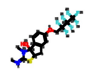 CN=C1SC2Cc3cc(OCC(F)(F)C(F)(F)C(F)(F)F)ccc3C2(O)N1C